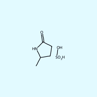 CC1CCC(=O)N1.O=S(=O)(O)O